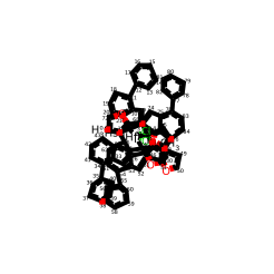 C[SiH]1[C]2(C(c3ccco3)=Cc3c(-c4ccccc4)cccc32)[Hf]2([Cl])([Cl])([C]13C(c1ccco1)=Cc1c(-c4ccccc4)cccc13)[C]1(C(c3ccco3)=Cc3c(-c4ccccc4)cccc31)[SiH](C)[C]21C(c2ccco2)=Cc2c(-c3ccccc3)cccc21